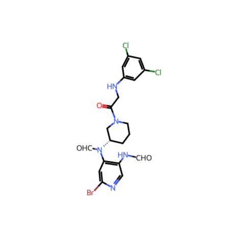 O=CNc1cnc(Br)cc1N(C=O)[C@H]1CCCN(C(=O)CNc2cc(Cl)cc(Cl)c2)C1